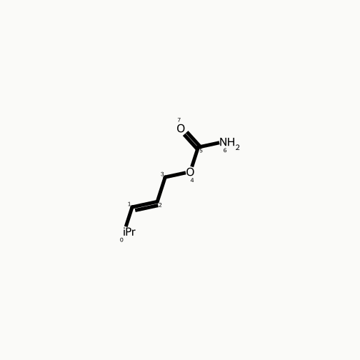 CC(C)C=CCOC(N)=O